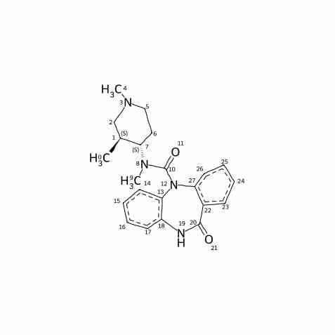 C[C@H]1CN(C)CC[C@@H]1N(C)C(=O)N1c2ccccc2NC(=O)c2ccccc21